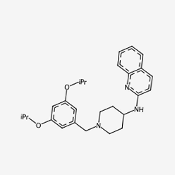 CC(C)Oc1cc(CN2CCC(Nc3ccc4ccccc4n3)CC2)cc(OC(C)C)c1